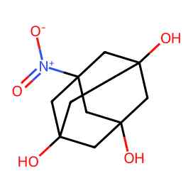 O=[N+]([O-])C12CC3(O)CC(O)(CC(O)(C3)C1)C2